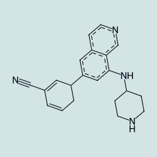 N#CC1=CC(c2cc(NC3CCNCC3)c3cnccc3c2)CC=C1